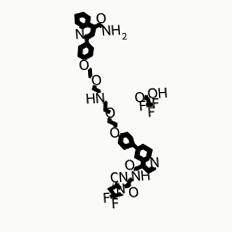 N#C[C@@H]1CC(F)(F)CN1C(=O)CNC(=O)c1ccnc2ccc(-c3ccc(OCCOCCNCCOCCOc4ccc(-c5cc(C(N)=O)c6ccccc6n5)cc4)cc3)cc12.O=C(O)C(F)(F)F